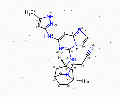 Cc1cc(Nc2cc3nccn3c(N[C@H]3CC4CC[C@H](C3)N(CCC#N)C4)n2)n[nH]1